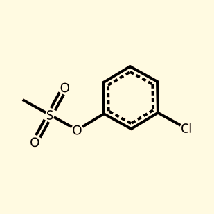 CS(=O)(=O)Oc1cccc(Cl)c1